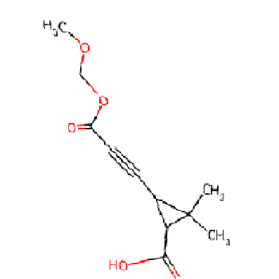 COCOC(=O)C#CC1C(C(=O)O)C1(C)C